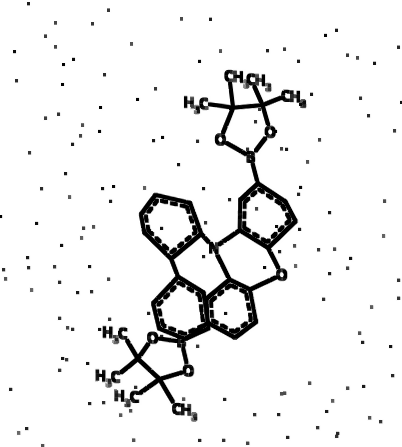 CC1(C)OB(c2ccc3c(c2)N(c2ccccc2-c2ccccc2)c2cc(B4OC(C)(C)C(C)(C)O4)ccc2O3)OC1(C)C